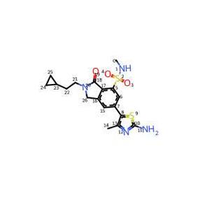 CNS(=O)(=O)c1cc(-c2sc(N)nc2C)cc2c1C(=O)N(CCC1CC1)C2